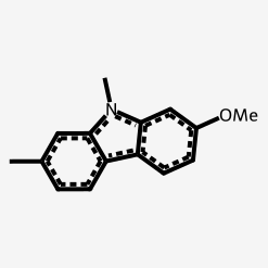 COc1ccc2c3ccc(C)cc3n(C)c2c1